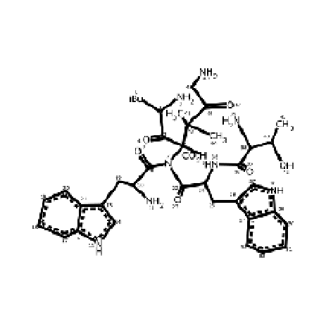 CCC(C)C(N)C(=O)C(C(=O)O)(N(C(=O)C(N)Cc1c[nH]c2ccccc12)C(=O)C(Cc1c[nH]c2ccccc12)NC(=O)C(N)C(C)O)C(C)(C)C(=O)CN